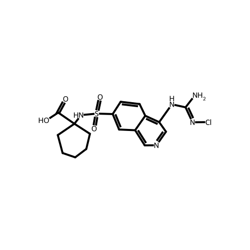 NC(=NCl)Nc1cncc2cc(S(=O)(=O)NC3(C(=O)O)CCCCC3)ccc12